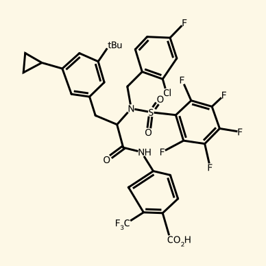 CC(C)(C)c1cc(CC(C(=O)Nc2ccc(C(=O)O)c(C(F)(F)F)c2)N(Cc2ccc(F)cc2Cl)S(=O)(=O)c2c(F)c(F)c(F)c(F)c2F)cc(C2CC2)c1